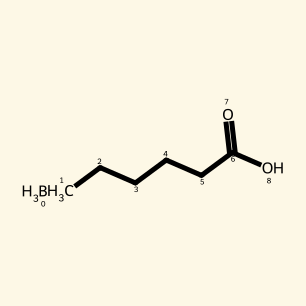 B.CCCCCC(=O)O